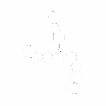 c1ccc2cc3c(cc2c1)oc1cnc(N(c2ccc4c(c2)oc2ccccc24)c2ccc4oc5ccccc5c4c2)cc13